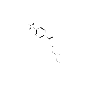 CS(=O)(=O)c1ccc(C(=O)OCCC(Cl)CCl)cc1